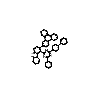 C1=Cc2c(oc3ccc(-c4ccc5c6ccccc6c6ccccc6c5c4)c(-c4nc(-c5ccccc5)nc(-c5ccc(-c6ccccc6)cc5)n4)c23)CC1